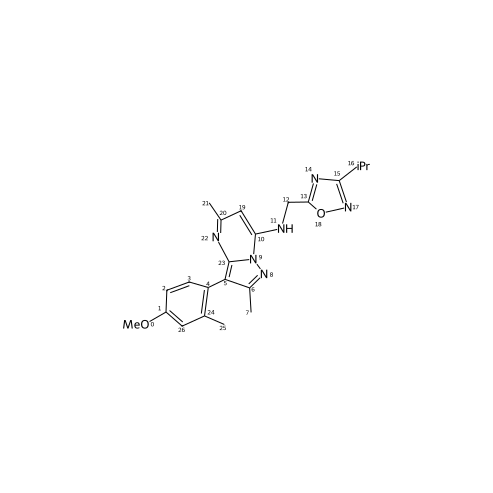 COc1ccc(-c2c(C)nn3c(NCc4nc(C(C)C)no4)cc(C)nc23)c(C)c1